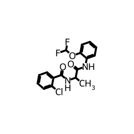 CC(NC(=O)c1ccccc1Cl)C(=O)Nc1ccccc1OC(F)F